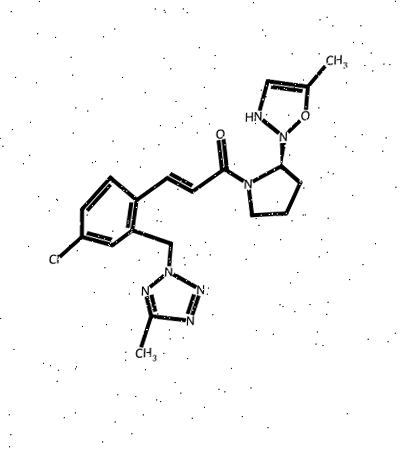 CC1=CNN([C@H]2CCCN2C(=O)/C=C/c2ccc(Cl)cc2Cn2nnc(C)n2)O1